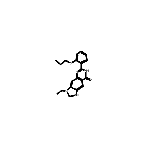 CCCOc1ccccc1-c1nc2cc3c(cc2c(=O)[nH]1)NCN3CC